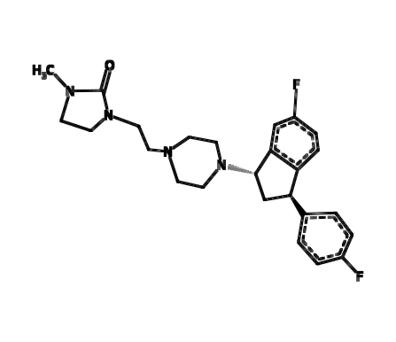 CN1CCN(CCN2CCN([C@H]3C[C@H](c4ccc(F)cc4)c4ccc(F)cc43)CC2)C1=O